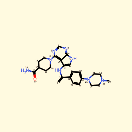 C=C(Nc1c[nH]c2ncnc(N3CCC(C(N)=O)CC3)c12)c1ccc(N2CCN(C)CC2)cc1